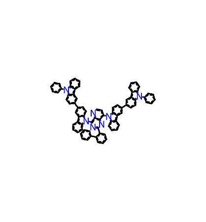 c1ccc(-c2ccccc2-c2nc(-n3c4ccccc4c4cc(-c5ccc6c(c5)c5ccccc5n6-c5ccccc5)ccc43)c3nccc(-n4c5ccccc5c5cc(-c6ccc7c(c6)c6ccccc6n7-c6ccccc6)ccc54)c3n2)cc1